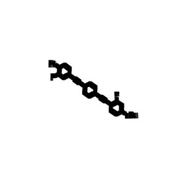 CCCCc1ccc(C#Cc2ccc(C#Cc3ccc(CC)c(F)c3)cc2)c(F)c1